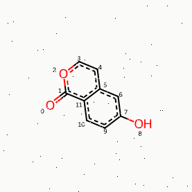 O=c1occc2cc(O)ccc12